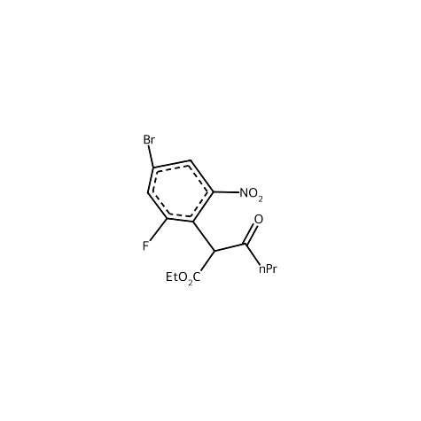 CCCC(=O)C(C(=O)OCC)c1c(F)cc(Br)cc1[N+](=O)[O-]